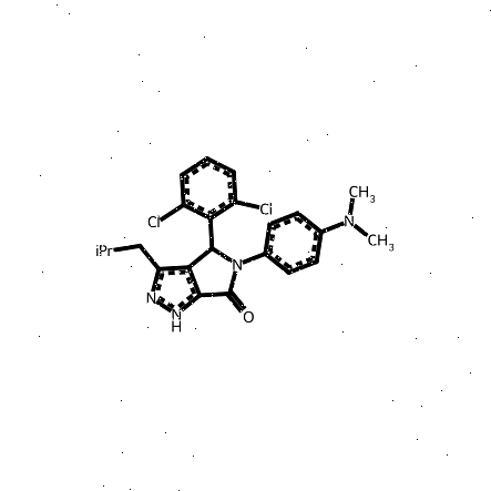 CC(C)Cc1n[nH]c2c1C(c1c(Cl)cccc1Cl)N(c1ccc(N(C)C)cc1)C2=O